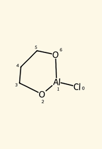 [Cl][Al]1[O]CCC[O]1